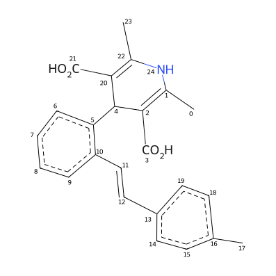 CC1=C(C(=O)O)C(c2ccccc2/C=C/c2ccc(C)cc2)C(C(=O)O)=C(C)N1